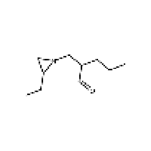 CCCC(C=O)CN1CC1CC